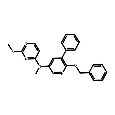 CSc1nccc(N(C)c2cnc(OCc3ccccc3)c(-c3ccccc3)c2)n1